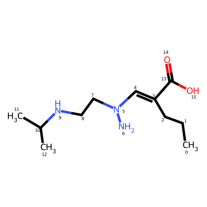 CCC/C(=C\N(N)CCNC(C)C)C(=O)O